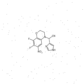 N#CC(c1c[nH]cn1)N1CCOc2c1cc([N+](=O)[O-])c(F)c2F